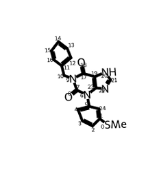 CSc1cccc(-n2c(=O)n(Cc3ccccc3)c(=O)c3[nH]cnc32)c1